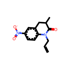 C=CCN1C(=O)C(C)Cc2cc([N+](=O)[O-])ccc21